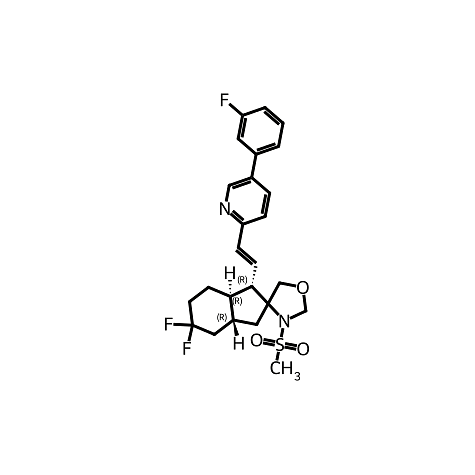 CS(=O)(=O)N1COCC12C[C@@H]1CC(F)(F)CC[C@H]1[C@@H]2C=Cc1ccc(-c2cccc(F)c2)cn1